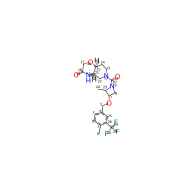 Cc1ccc(COC2CN(C(=O)N3CC[C@@H]4OCC(=O)N[C@@H]4C3)C2C)cc1C(F)(F)F